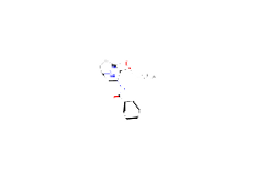 COC(=O)C1C(NC(=O)c2ccccc2)CC2CC[C@H]1N2C